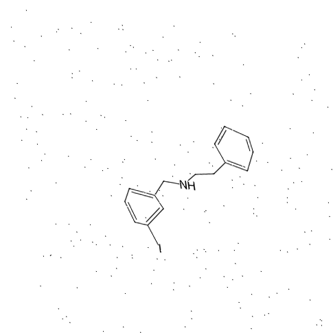 Ic1cccc(CNCCc2ccccc2)c1